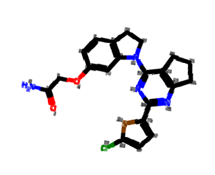 NC(=O)COc1ccc2c(c1)N(c1nc(-c3ccc(Cl)s3)nc3c1CCC3)CC2